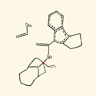 CCN1C2CCCC1CC(NC(=O)c1c3n(c4ccccc14)CCC3)C2.O=CO